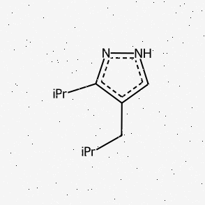 CC(C)Cc1c[nH]nc1C(C)C